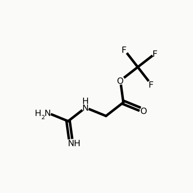 N=C(N)NCC(=O)OC(F)(F)F